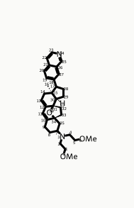 COCCN(CCOC)C1CCC2=CC3=CC[C@@]4(C)C(c5ccc6ccncc6c5)CC[C@H]4[C@@]34CC[C@]2(C1)O4